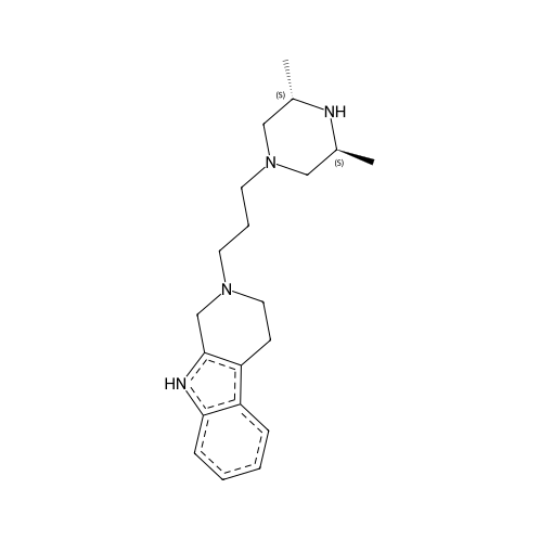 C[C@H]1CN(CCCN2CCc3c([nH]c4ccccc34)C2)C[C@H](C)N1